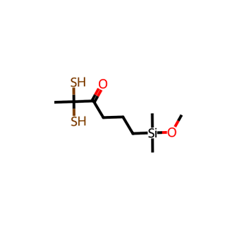 CO[Si](C)(C)CCCC(=O)C(C)(S)S